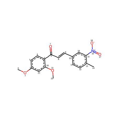 COc1ccc(C(=O)/C=C/c2ccc(C)c([N+](=O)[O-])c2)c(OC)c1